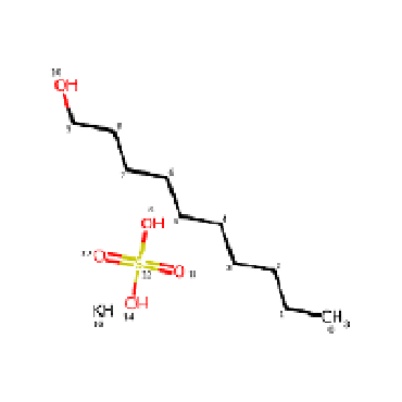 CCCCCCCCCCO.O=S(=O)(O)O.[KH]